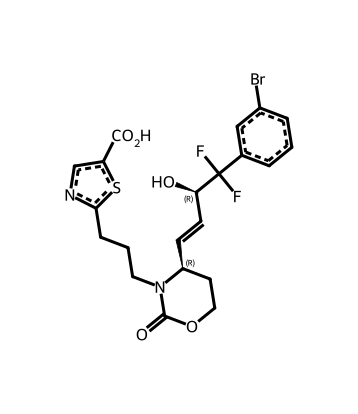 O=C(O)c1cnc(CCCN2C(=O)OCC[C@@H]2C=C[C@@H](O)C(F)(F)c2cccc(Br)c2)s1